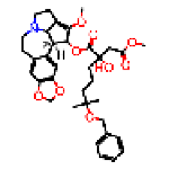 COC(=O)CC(O)(CCCC(C)(C)OCc1ccccc1)C(=O)OC1C(OC)=C2CCN3CCc4cc5c(cc4[C@H]1C23)OCO5